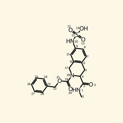 CNC(=O)C1Cc2ccc(NS(=O)(=O)O)cc2CN1C(=O)OCc1ccccc1